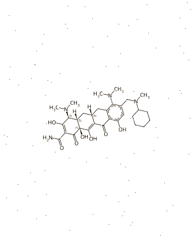 CN(C)c1c(CN(C)C2CCCCC2)cc(O)c2c1C[C@H]1C[C@H]3[C@H](N(C)C)C(O)=C(C(N)=O)C(=O)[C@@]3(O)C(O)=C1C2=O